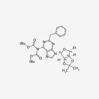 CC[C@H]1O[C@@H](n2cnc3c(N(C(=O)OC(C)(C)C)C(=O)OC(C)(C)C)nc(Cc4ccccc4)nc32)[C@@H]2OC(C)(C)O[C@@H]21